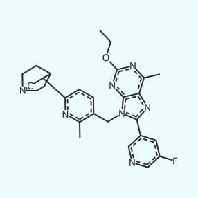 CCOc1nc(C)c2nc(-c3cncc(F)c3)n(Cc3ccc(C4CN5CCC4CC5)nc3C)c2n1